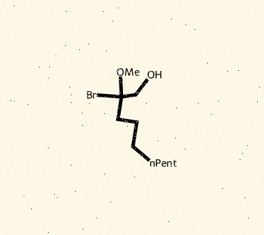 CCCCCCCCC(Br)(CO)OC